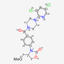 COCC1COC(=O)N1c1ccc(C(=O)N2CCN(c3ncc(Cl)cc3Cl)CC2)cc1